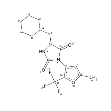 Cc1cc(N2C(=O)NC(CC3CCCCC3)C2=O)c(C(F)(F)F)o1